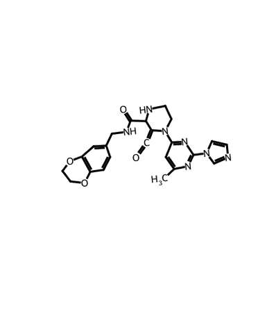 Cc1cc(N2CCNC(C(=O)NCc3ccc4c(c3)OCCO4)C2=C=O)nc(-n2ccnc2)n1